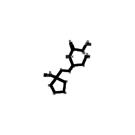 COC1(CCC(CO)NC(=O)OC(C)(C)C)CCCC1